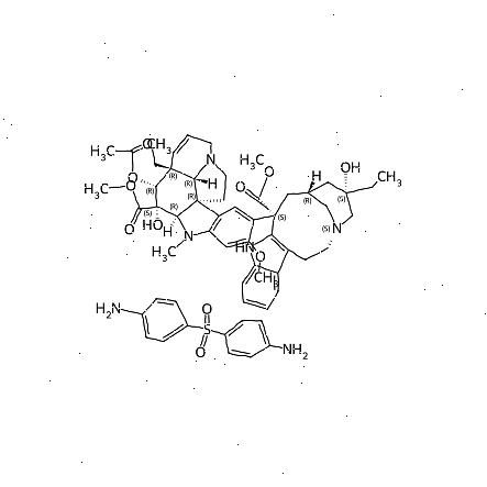 CC[C@]1(O)C[C@@H]2C[N@@](CCc3c([nH]c4ccccc34)[C@@](C(=O)OC)(c3cc4c(cc3OC)N(C)[C@H]3[C@@](O)(C(=O)OC)[C@H](OC(C)=O)[C@]5(CC)C=CCN6CC[C@]43[C@@H]65)C2)C1.Nc1ccc(S(=O)(=O)c2ccc(N)cc2)cc1